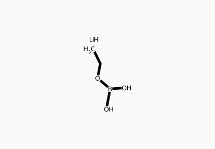 CCOB(O)O.[LiH]